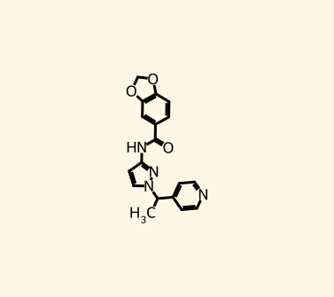 CC(c1ccncc1)n1ccc(NC(=O)c2ccc3c(c2)OCO3)n1